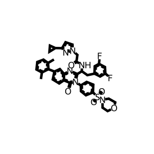 Cc1cccc(C)c1-c1ccc2c(=O)n(-c3ccc(S(=O)(=O)N4CCOCC4)cc3)c(C(Cc3cc(F)cc(F)c3)NC(=O)Cn3ccc(C4CC4)n3)nc2c1